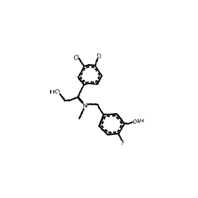 COc1cc(CN(C)C(CO)c2ccc(Cl)c(Cl)c2)ccc1F